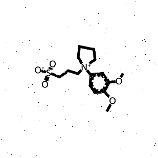 COc1ccc([N+]2(CCCS(=O)(=O)[O-])CCCC2)cc1OC